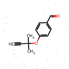 C#CC(C)(C)Oc1ccc(C=O)cc1